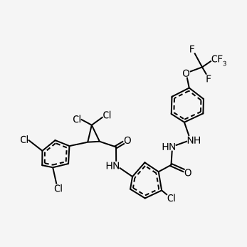 O=C(NNc1ccc(OC(F)(F)C(F)(F)F)cc1)c1cc(NC(=O)C2C(c3cc(Cl)cc(Cl)c3)C2(Cl)Cl)ccc1Cl